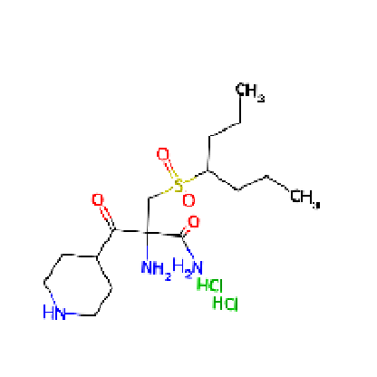 CCCC(CCC)S(=O)(=O)CC(N)(C(N)=O)C(=O)C1CCNCC1.Cl.Cl